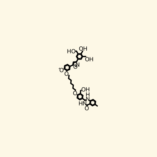 COc1ccc(-c2cc(-c3cc(CO)c(CO)c(CO)c3)no2)cc1OCCCCCCCOc1ccc(C2NC(=O)c3cc(C)ccc3N2)cc1CO